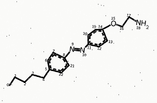 CCCCCc1ccc(N=Nc2ccc(OCCN)cc2)cc1